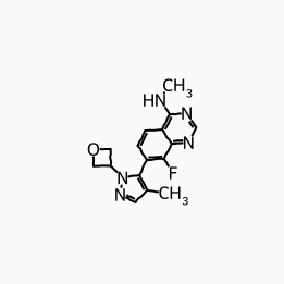 CNc1ncnc2c(F)c(-c3c(C)cnn3C3COC3)ccc12